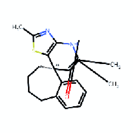 Cc1nc2c(s1)[C@@]1(CCCCc3ccccc31)C1=C(CC(C)(C)CC1=O)N2